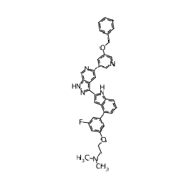 CN(C)CCOc1cc(F)cc(-c2cccc3[nH]c(-c4n[nH]c5cnc(-c6cncc(OCc7ccccc7)c6)cc45)cc23)c1